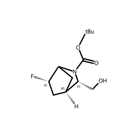 CC(C)(C)OC(=O)N1C2C[C@H](C[C@@H]2F)[C@H]1CO